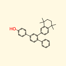 CC1(C)CCC(C)(C)c2cc(-c3cc(-c4ccc(O)cc4)ccc3-c3ccccc3)ccc21